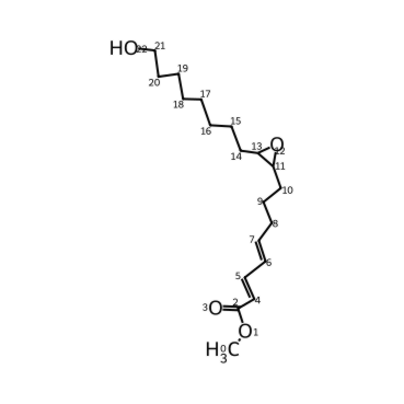 COC(=O)C=CC=CCCCC1OC1CCCCCCCCO